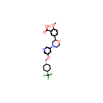 COc1ccc(C2CN(c3cncc(OC[C@H]4CC[C@H](C(F)(F)F)CC4)c3)CCO2)cc1C(=O)O